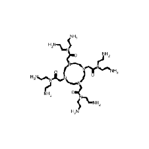 NCCN(CCN)C(=O)CN1CCN(CC(=O)N(CCN)CCN)CCN(CC(=O)N(CCN)CCN)CCN(CC(=O)N(CCN)CCN)CC1